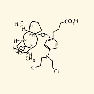 C[C@@H]1CCC[C@@]2(C)CC[C@H]3[C@H](C)CC[C@@H](C[C@H]12)C3(C)C.O=C(O)CCCc1ccc(N(CCCl)CCCl)cc1